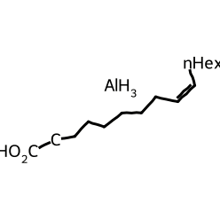 CCCCCC/C=C\CCCCCCCC(=O)O.[AlH3]